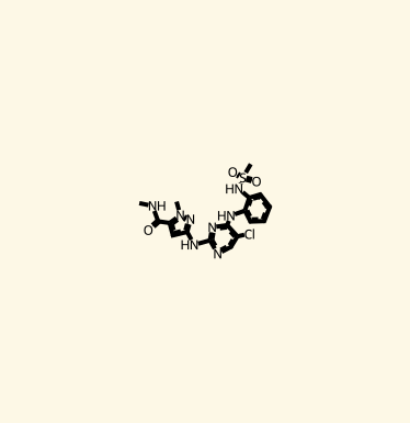 CNC(=O)c1cc(Nc2ncc(Cl)c(Nc3ccccc3NS(C)(=O)=O)n2)nn1C